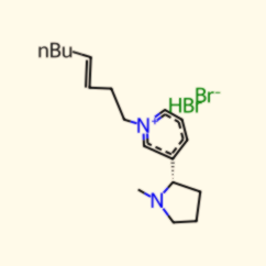 Br.CCCCC=CCC[n+]1cccc([C@@H]2CCCN2C)c1.[Br-]